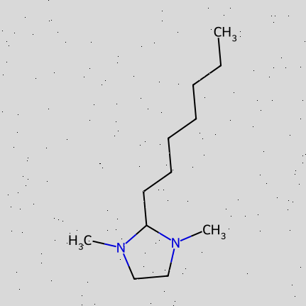 CCCCCCCC1N(C)CCN1C